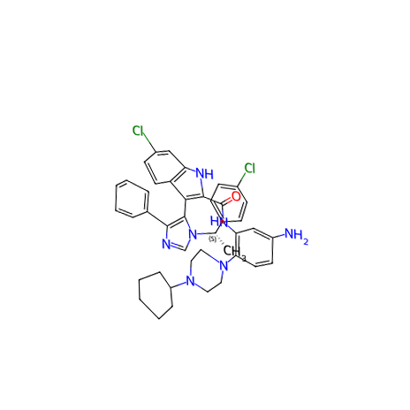 C[C@@H](c1ccc(Cl)cc1)n1cnc(-c2ccccc2)c1-c1c(C(=O)Nc2cc(N)ccc2N2CCN(C3CCCCC3)CC2)[nH]c2cc(Cl)ccc12